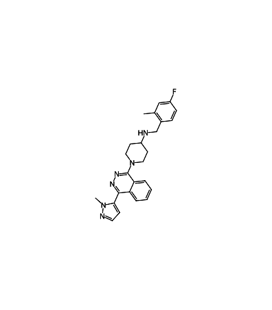 Cc1cc(F)ccc1CNC1CCN(c2nnc(-c3ccnn3C)c3ccccc23)CC1